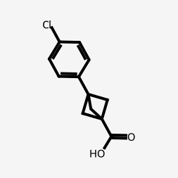 O=C(O)C12CC(c3ccc(Cl)cc3)(C1)C2